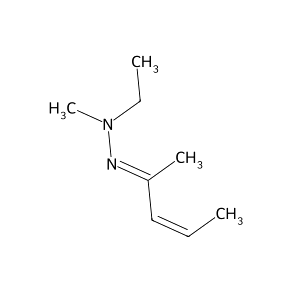 C/C=C\C(C)=N\N(C)CC